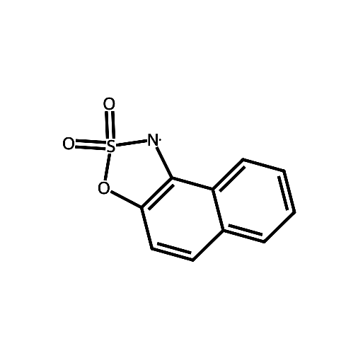 O=S1(=O)[N]c2c(ccc3ccccc23)O1